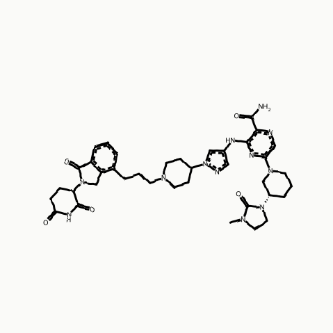 CN1CCN([C@H]2CCCN(c3cnc(C(N)=O)c(Nc4cnn(C5CCN(CCCc6cccc7c6CN(C6CCC(=O)NC6=O)C7=O)CC5)c4)n3)C2)C1=O